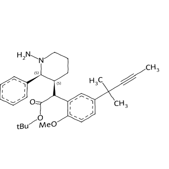 CC#CC(C)(C)c1ccc(OC)c(C(C(=O)OC(C)(C)C)[C@@H]2CCCN(N)[C@@H]2c2ccccc2)c1